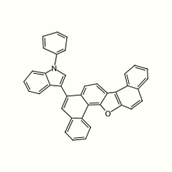 c1ccc(-n2cc(-c3cc4ccccc4c4c3ccc3c4oc4ccc5ccccc5c43)c3ccccc32)cc1